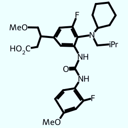 COCC(CC(=O)O)c1cc(F)c(N(CC(C)C)C2CCCCC2)c(NC(=O)Nc2ccc(OC)cc2F)c1